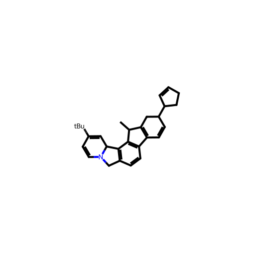 CC1C2=C(C=CC(C3C=CCC3)C2)c2ccc3c(c21)C1C=C(C(C)(C)C)C=CN1C3